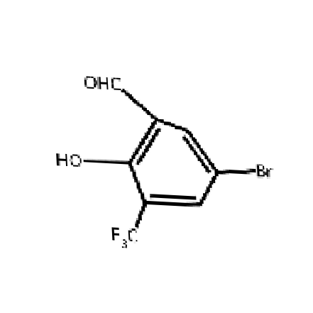 O=Cc1cc(Br)cc(C(F)(F)F)c1O